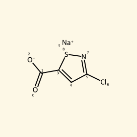 O=C([O-])c1cc(Cl)ns1.[Na+]